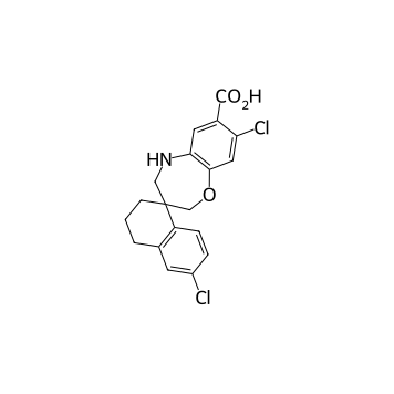 O=C(O)c1cc2c(cc1Cl)OCC1(CCCc3cc(Cl)ccc31)CN2